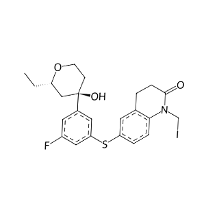 CC[C@H]1C[C@@](O)(c2cc(F)cc(Sc3ccc4c(c3)CCC(=O)N4CI)c2)CCO1